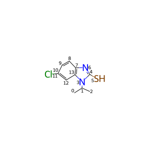 CC(C)n1c(S)nc2ccc(Cl)cc21